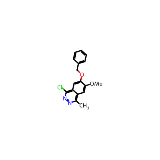 COc1cc2c(C)nnc(Cl)c2cc1OCc1ccccc1